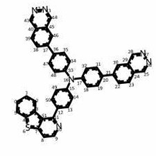 c1ccc2c(c1)sc1ccnc(-c3ccc(N(c4ccc(-c5ccc6cnncc6c5)cc4)c4ccc(-c5ccc6cnncc6c5)cc4)cc3)c12